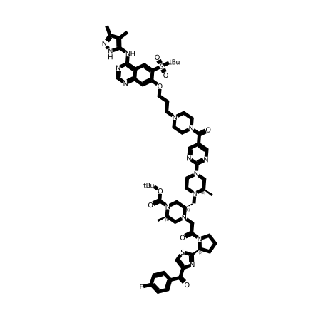 Cc1n[nH]c(Nc2ncnc3cc(OCCCN4CCN(C(=O)c5cnc(N6CCN(C[C@H]7CN(C(=O)OC(C)(C)C)[C@H](C)CN7CC(=O)N7CCC[C@H]7c7nc(C(=O)c8ccc(F)cc8)cs7)[C@H](C)C6)nc5)CC4)c(S(=O)(=O)C(C)(C)C)cc23)c1C